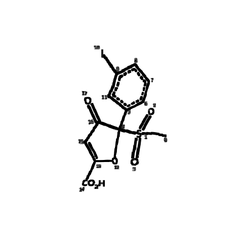 CS(=O)(=O)C1(c2cccc(I)c2)OC(C(=O)O)=CC1=O